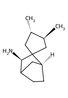 C[C@H]1CC2(C[C@@H]1C)[C@H]1CCC(C1)[C@H]2N